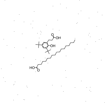 CC(C)(C)c1cc(CCC(=O)O)c(O)c(C(C)(C)C)c1.CCCCCCCCCCCCCCCCCC(=O)O